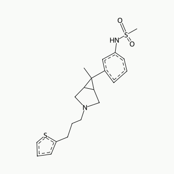 CC1(c2cccc(NS(C)(=O)=O)c2)C2CN(CCCc3cccs3)CC21